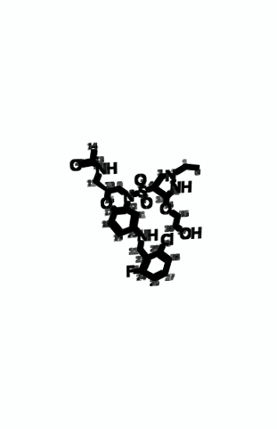 CCN1CC(S(=O)(=O)N2C[C@H](CNC(C)=O)Oc3ccc(NCc4c(F)cccc4Cl)cc32)C(OCCO)N1